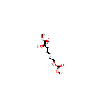 COC(=O)OCCCCCC(O)C(=O)OC